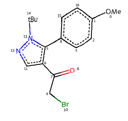 COc1ccc(-c2c(C(=O)CBr)cnn2C(C)(C)C)cc1